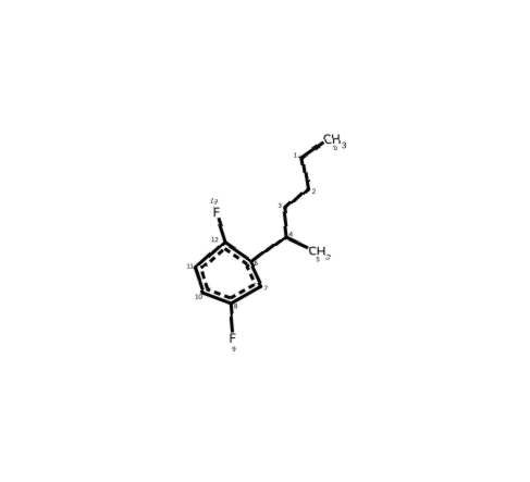 CCCCC(C)c1cc(F)ccc1F